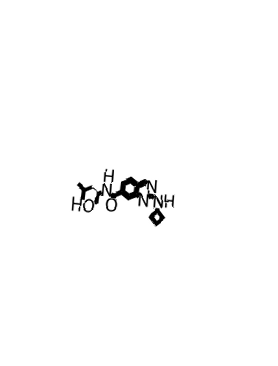 CC(C)C[C@@H](CO)NC(=O)c1ccc2cnc(NC3CCC3)nc2c1